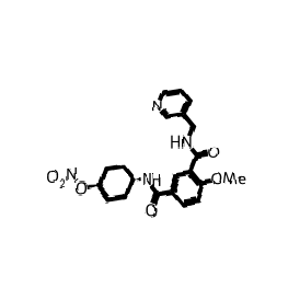 COc1ccc(C(=O)N[C@H]2CC[C@H](O[N+](=O)[O-])CC2)cc1C(=O)NCc1cccnc1